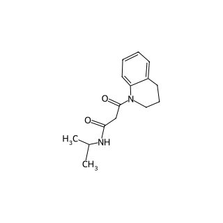 CC(C)NC(=O)CC(=O)N1CCCc2ccccc21